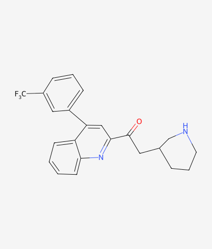 O=C(CC1CCCNC1)c1cc(-c2cccc(C(F)(F)F)c2)c2ccccc2n1